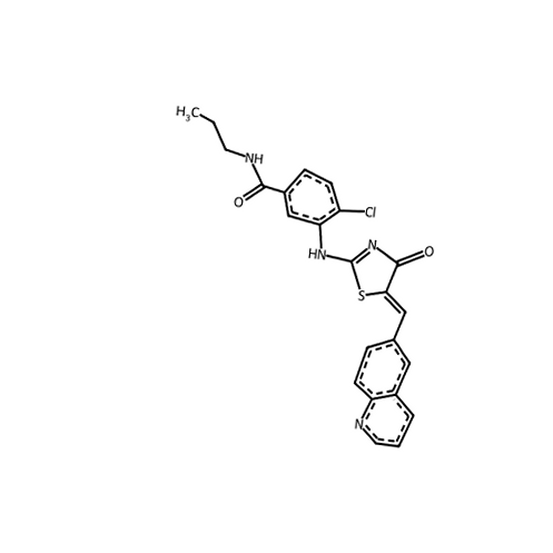 CCCNC(=O)c1ccc(Cl)c(NC2=NC(=O)/C(=C/c3ccc4ncccc4c3)S2)c1